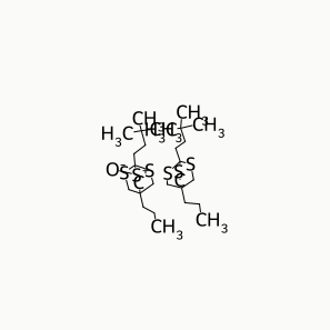 CCCC12CSC(CCC(C)(C)C)(SC1)SC2.CCCC12CSC(CCC(C)(C)C)(SC1)[S+]([O-])C2